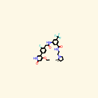 CCOc1cc(=O)[nH]cc1-c1ccc(CC(=O)Nc2cc(C(=O)NCCN3CCC[C@H]3C)cc(C(F)(F)F)c2)c(F)c1